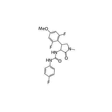 COc1cc(F)c(C2CN(C)C(=O)C2NC(=O)Nc2ccc(F)cc2)c(F)c1